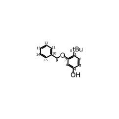 CC(C)(C)c1ccc(O)cc1OCc1ccccc1